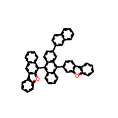 c1ccc2cc(-c3ccc4c(-c5c6ccccc6cc6c5oc5ccccc56)c5ccccc5c(-c5ccc6c(c5)oc5ccccc56)c4c3)ccc2c1